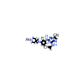 CC(=O)N1CCC2(CC1)CN(c1cc(C#N)cc(Nc3nc(NC4CC4)c4ncc(C#N)n4n3)c1Cl)C2